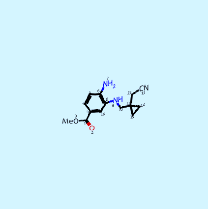 COC(=O)c1ccc(N)c(NCC2(CC#N)CC2)c1